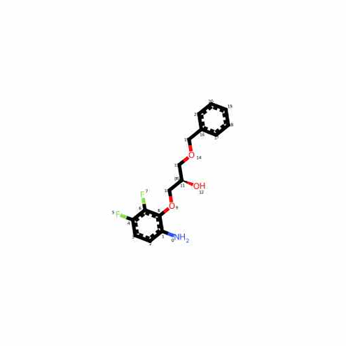 Nc1ccc(F)c(F)c1OC[C@H](O)COCc1ccccc1